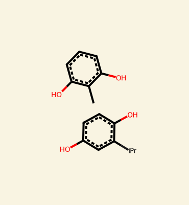 CC(C)c1cc(O)ccc1O.Cc1c(O)cccc1O